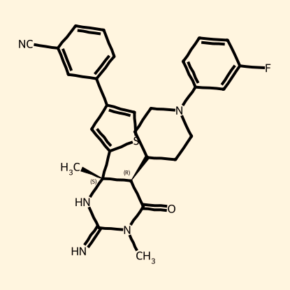 CN1C(=N)N[C@](C)(c2cc(-c3cccc(C#N)c3)cs2)[C@@H](C2CCN(c3cccc(F)c3)CC2)C1=O